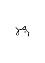 CC[C@@H]1CC1C(C)=O